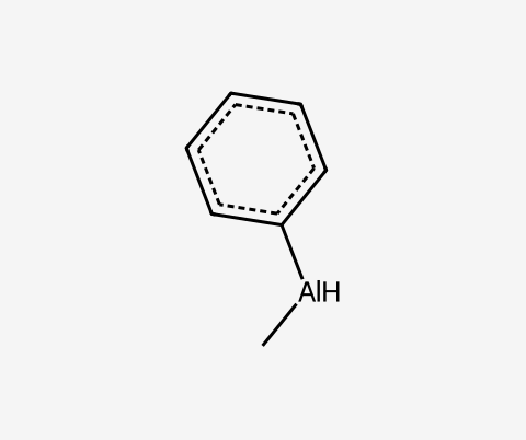 [CH3][AlH][c]1ccccc1